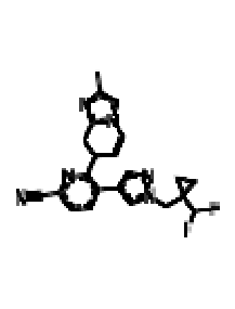 Cc1cn2c(n1)CC(c1nc(C#N)ccc1-c1cnn(CC3(C(F)F)CC3)c1)C=C2